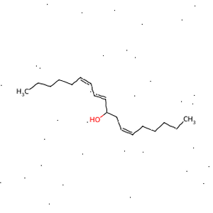 CCCCC/C=C\C=C\C(O)C/C=C\CCCCC